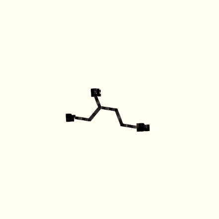 CCC(C)CCC(CC)CBr